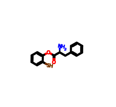 N[C@@H](Cc1ccccc1)C(=O)Oc1ccccc1S